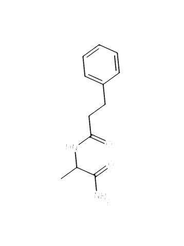 CC(NC(=O)CCc1ccccc1)C(N)=O